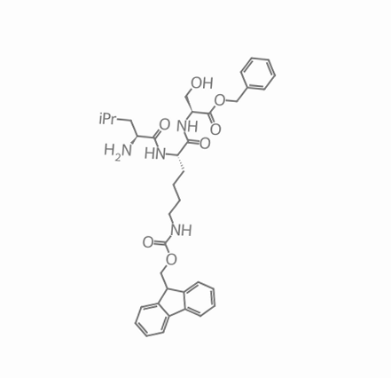 CC(C)C[C@H](N)C(=O)N[C@@H](CCCCNC(=O)OCC1c2ccccc2-c2ccccc21)C(=O)N[C@@H](CO)C(=O)OCc1ccccc1